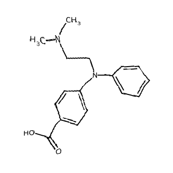 CN(C)CCN(c1ccccc1)c1ccc(C(=O)O)cc1